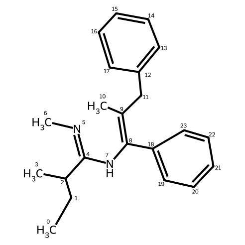 CCC(C)/C(=N\C)N/C(=C(\C)Cc1ccccc1)c1ccccc1